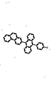 Fc1ccc(-c2c3ccccc3c(-c3ccc4c(ccc5ccccc54)c3)c3ccccc23)cc1